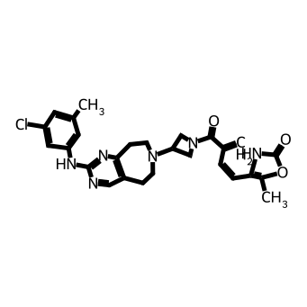 C=C(/C=C\c1[nH]c(=O)oc1C)C(=O)N1CC(N2CCc3cnc(Nc4cc(C)cc(Cl)c4)nc3CC2)C1